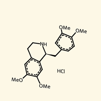 COc1ccc(C[C@@H]2NCCc3cc(OC)c(OC)cc32)cc1OC.Cl